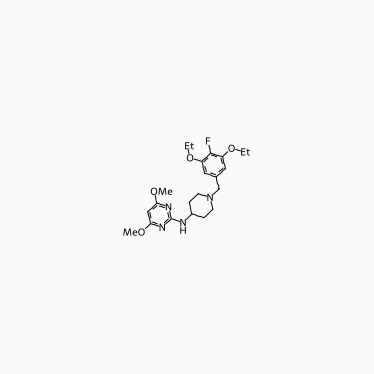 CCOc1cc(CN2CCC(Nc3nc(OC)cc(OC)n3)CC2)cc(OCC)c1F